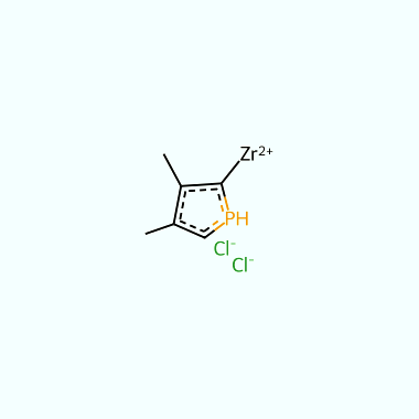 Cc1c[pH][c]([Zr+2])c1C.[Cl-].[Cl-]